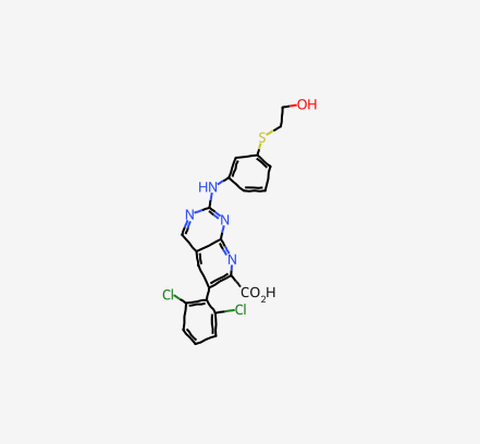 O=C(O)c1nc2nc(Nc3cccc(SCCO)c3)ncc2cc1-c1c(Cl)cccc1Cl